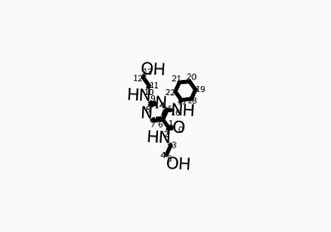 O=C(NCCO)c1cnc(NCCO)nc1NC1CCCCC1